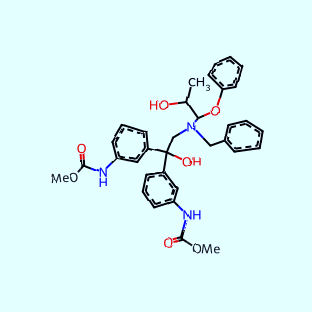 COC(=O)Nc1cccc(C(O)(CN(Cc2ccccc2)C(Oc2ccccc2)C(C)O)c2cccc(NC(=O)OC)c2)c1